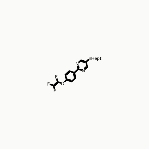 CCCCCCCc1cnc(-c2ccc(OC(F)=C(F)F)cc2)nc1